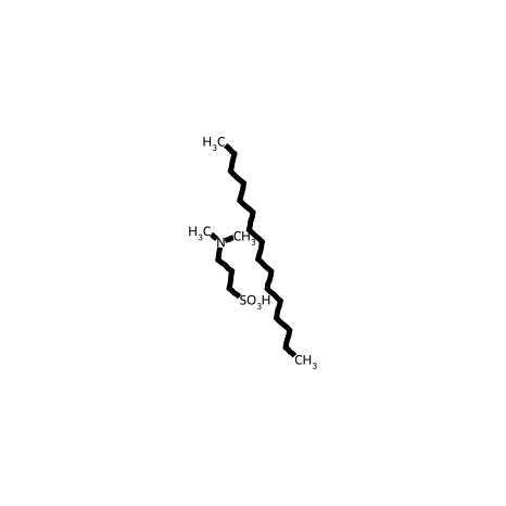 CCCCCCCCCCCCCCCC.CN(C)CCCS(=O)(=O)O